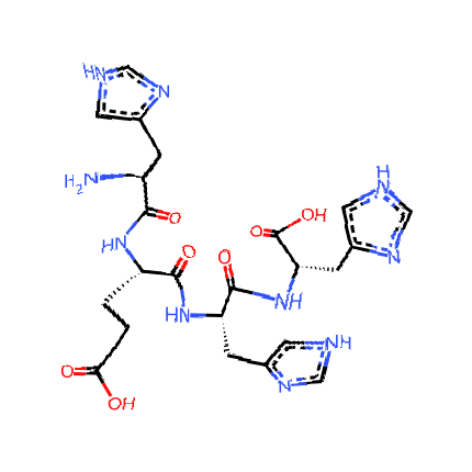 N[C@@H](Cc1c[nH]cn1)C(=O)N[C@@H](CCC(=O)O)C(=O)N[C@@H](Cc1c[nH]cn1)C(=O)N[C@@H](Cc1c[nH]cn1)C(=O)O